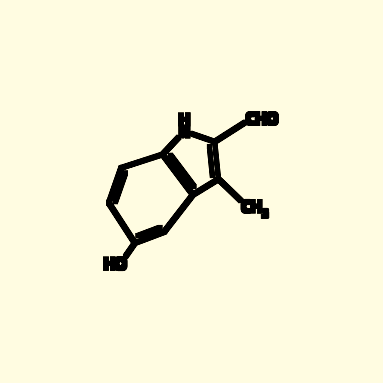 Cc1c(C=O)[nH]c2ccc(O)cc12